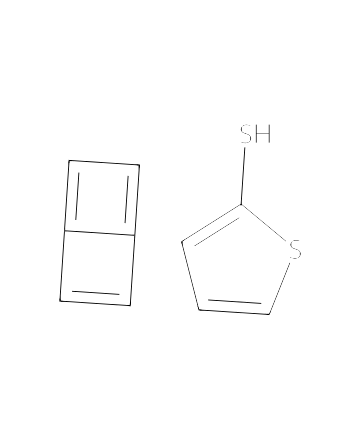 Sc1cccs1.c1cc2ccc1-2